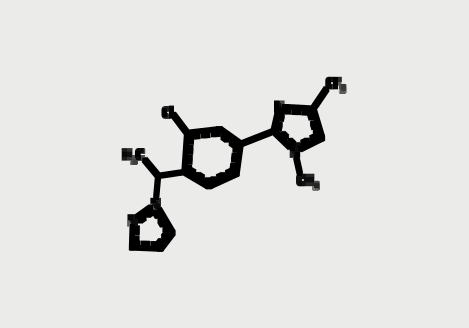 CC(c1ccc(-c2nc(C(F)(F)F)cn2C)cc1Cl)n1cccn1